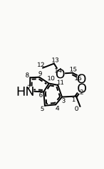 CC(=O)c1ccc2[nH]ccc2c1.CCOC=O